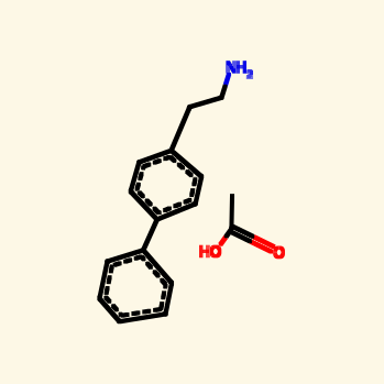 CC(=O)O.NCCc1ccc(-c2ccccc2)cc1